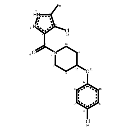 Cc1[nH]nc(C(=O)N2CCC(Oc3ccc(Cl)cc3)CC2)c1Cl